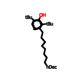 CCCCCCCCCCCCCCCCCCc1[c]cc(C(C)(C)C)c(O)c1C(C)(C)C